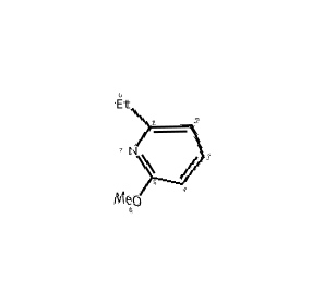 C[CH]c1cccc(OC)n1